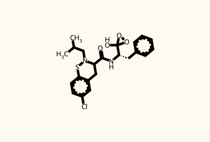 CC(C)CN1Sc2ccc(Cl)cc2CC1C(=O)N[C@@H](Cc1ccccc1)C1(O)OO1